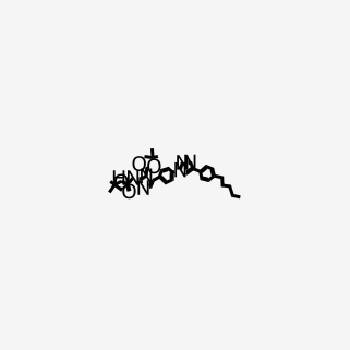 CCCCCc1ccc(-c2cn(-c3ccc(-c4cnc(NC(=O)OC(C)(C)C)n4C(=O)OC(C)(C)C)cc3)nn2)cc1